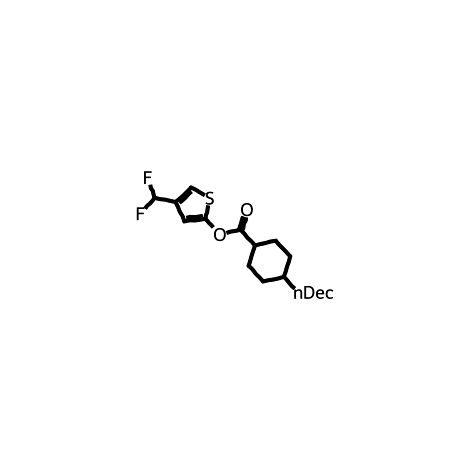 CCCCCCCCCCC1CCC(C(=O)Oc2cc(C(F)F)cs2)CC1